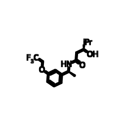 CC(C)[C@@H](O)CC(=O)N[C@@H](C)c1cccc(OCC(F)(F)F)c1